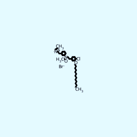 CCCCCCCCCCCCCCOc1cc(CCN(C(C)=O)c2cccc(CC3=[N+]C=C(C)S3)c2)ccc1Cl.[Br-]